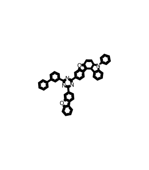 C1=CC2C(c3ccccc3N2c2ccccc2)c2c1oc1cc(-c3nc(-c4cccc(-c5ccccc5)c4)nc(-c4ccc5c(c4)oc4ccccc45)n3)ccc21